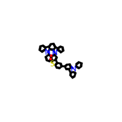 c1ccc(-n2c3ccccc3c3cc(-c4ccc5sc6ccc(-n7c8ccccc8c8ccc9c%10ccccc%10n(-c%10ccccc%10)c9c87)cc6c5c4)ccc32)cc1